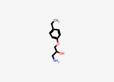 CCc1ccc(OCC(O)CN)cc1